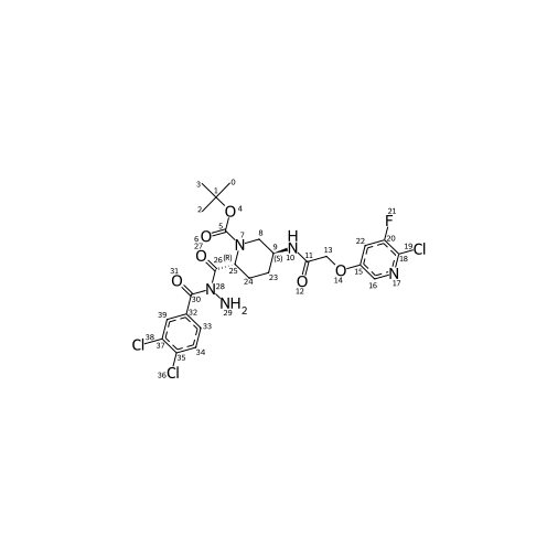 CC(C)(C)OC(=O)N1C[C@@H](NC(=O)COc2cnc(Cl)c(F)c2)CC[C@@H]1C(=O)N(N)C(=O)c1ccc(Cl)c(Cl)c1